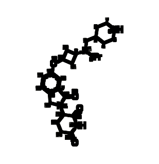 CC(C)N(CC1CCNCC1)[C@H]1C[C@H](Oc2ccc3c(c2)C(=O)N(C2CCC(=O)NC2=O)C3)C1